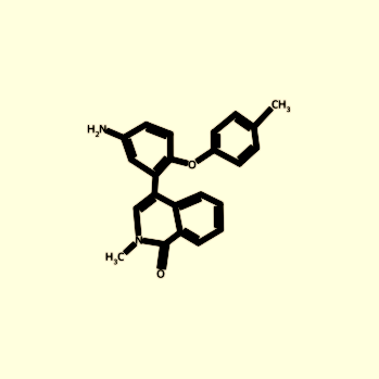 Cc1ccc(Oc2ccc(N)cc2-c2cn(C)c(=O)c3ccccc23)cc1